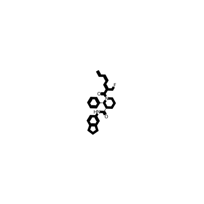 C=C/C=C\C=C(/CF)C(=O)N1CCC[C@H](C(=O)Nc2ccc3c(c2)CCC3)[C@@H]1c1ccccc1